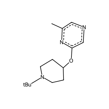 Cc1cncc(OC2CCN(C(C)(C)C)CC2)n1